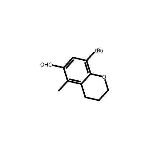 Cc1c(C=O)cc(C(C)(C)C)c2c1CCCO2